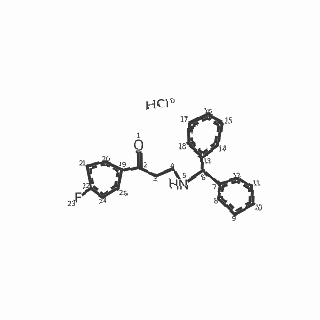 Cl.O=C(CCNC(c1ccccc1)c1ccccc1)c1ccc(F)cc1